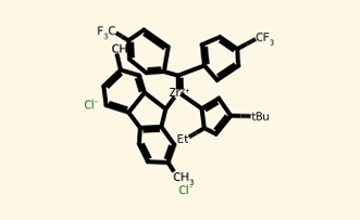 CCC1C=C(C(C)(C)C)C=[C]1[Zr+2](=[C](c1ccc(C(F)(F)F)cc1)c1ccc(C(F)(F)F)cc1)[CH]1c2cc(C)ccc2-c2ccc(C)cc21.[Cl-].[Cl-]